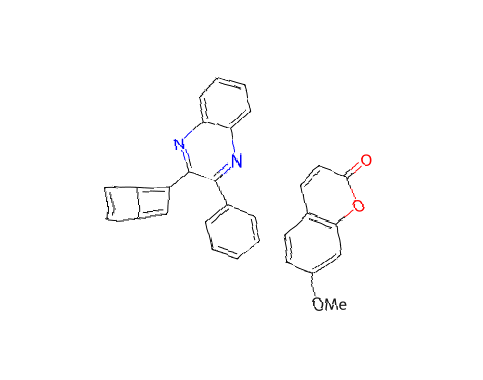 COc1ccc2ccc(=O)oc2c1.c1ccc(-c2nc3ccccc3nc2-c2cc3ccc2-3)cc1